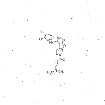 CN(C)CC=CC(=O)N1CCc2c(oc3ncnc(Nc4ccc(Cl)c(Cl)c4)c23)C1